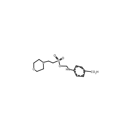 O=C(O)c1ccc(NCOS(=O)(=O)CCN2CCOCC2)cc1